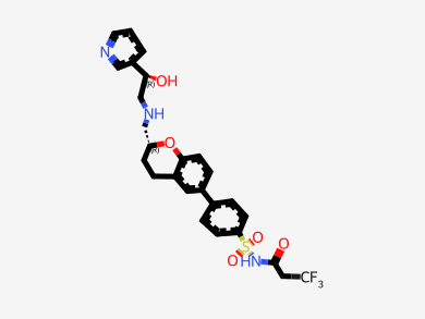 O=C(CC(F)(F)F)NS(=O)(=O)c1ccc(-c2ccc3c(c2)CC[C@H](CNC[C@H](O)c2cccnc2)O3)cc1